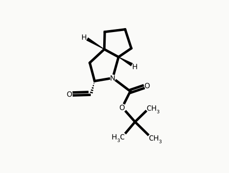 CC(C)(C)OC(=O)N1[C@H](C=O)C[C@@H]2CCC[C@@H]21